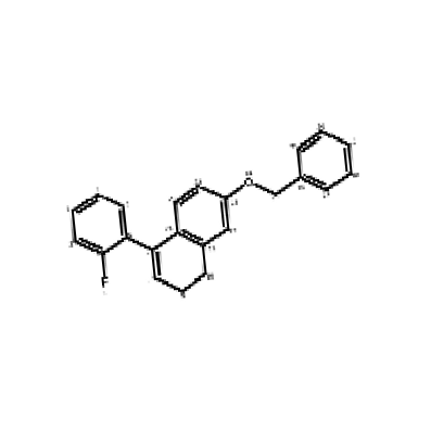 Fc1c[c]ccc1C1=CCCc2cc(OCc3ccccc3)ccc21